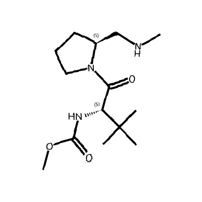 CNC[C@@H]1CCCN1C(=O)[C@@H](NC(=O)OC)C(C)(C)C